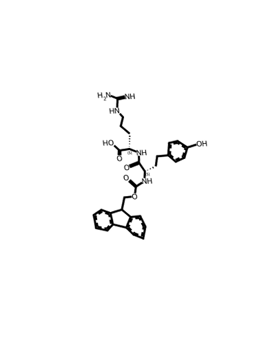 N=C(N)NCCC[C@H](NC(=O)[C@H](CCc1ccc(O)cc1)NC(=O)OCC1c2ccccc2-c2ccccc21)C(=O)O